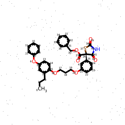 CCCc1cc(Oc2ccccc2)ccc1OCCCOc1cccc([C@@]2(C(=O)OCc3ccccc3)SC(=O)NC2=O)c1